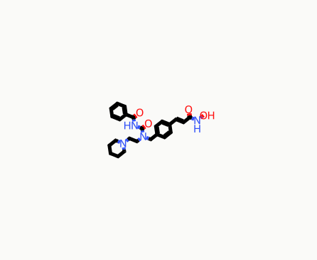 O=C(C=Cc1ccc(CN(CCN2CCCCC2)C(=O)NC(=O)c2ccccc2)cc1)NO